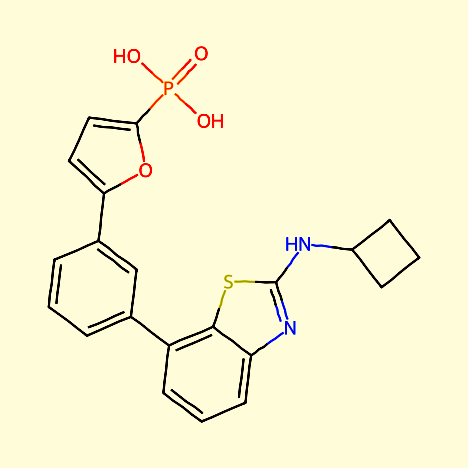 O=P(O)(O)c1ccc(-c2cccc(-c3cccc4nc(NC5CCC5)sc34)c2)o1